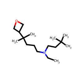 CCN(CCCC(C)(C)C1COC1)CCC(C)(C)C